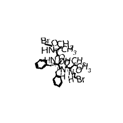 CC(C)[C@H](NC(=O)CBr)C(=O)N[C@@H](Cc1ccccc1)C(O)[C@H](Cc1ccccc1)NC(=O)[C@@H](NC(=O)CBr)C(C)C